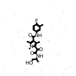 Cc1cc(NC(=O)c2c(C)c(C(=O)C(=O)NC(C)CO)n(C)c2C)ccc1F